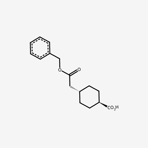 O=C(C[C@H]1CC[C@H](C(=O)O)CC1)OCc1ccccc1